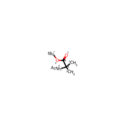 CC(=O)NC(C)(C)C(=O)OC(C)(C)C